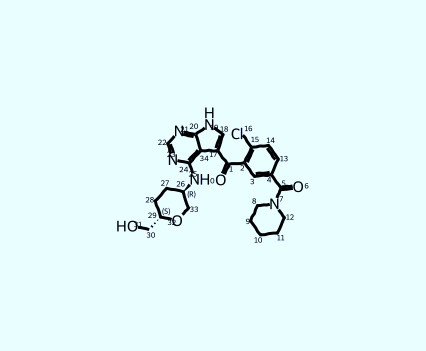 O=C(c1cc(C(=O)N2CCCCC2)ccc1Cl)c1c[nH]c2ncnc(N[C@@H]3CC[C@@H](CO)OC3)c12